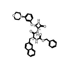 O=C(N[C@@H](Cc1ccc2ccccc2c1)C(=O)N[C@@H]1C(=O)N[C@H]1Oc1cccc(N2CCOCC2)c1)OCc1ccccc1